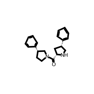 O=C([C@@H]1C[C@H](c2ccccc2)CN1)N1CC[C@H](c2ccccc2)C1